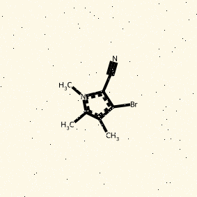 Cc1c(Br)c(C#N)n(C)c1C